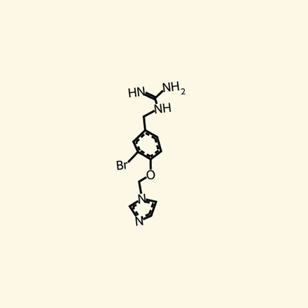 N=C(N)NCc1ccc(OCn2ccnc2)c(Br)c1